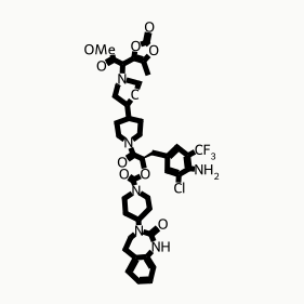 COC(=O)C(c1oc(=O)oc1C)N1CCC(C2CCN(C(=O)[C@@H](Cc3cc(Cl)c(N)c(C(F)(F)F)c3)OC(=O)N3CCC(N4CCc5ccccc5NC4=O)CC3)CC2)CC1